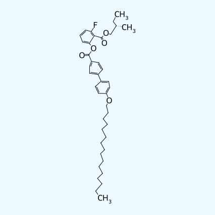 CCCCCCCCCCCCCCCCOc1ccc(-c2ccc(C(=O)Oc3cccc(F)c3C(=O)OC[C@@H](C)CC)cc2)cc1